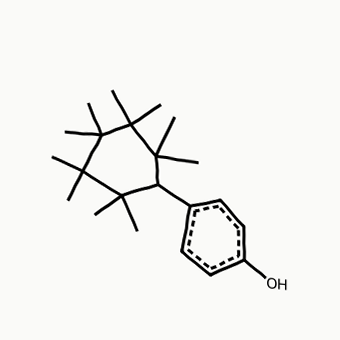 CC1(C)C(c2ccc(O)cc2)C(C)(C)C(C)(C)C(C)(C)C1(C)C